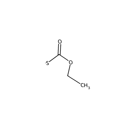 CCOC(=O)[S]